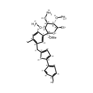 CC[C@H]1O[C@@](OC)(c2ccc(C)c(Cc3ccc(-c4ccc(F)cc4)s3)c2)[C@H](OP)[C@@H](OP)[C@@H]1OP